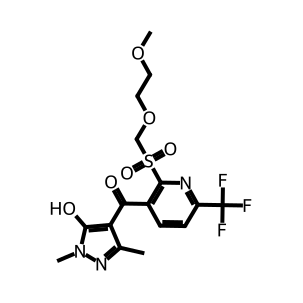 COCCOCS(=O)(=O)c1nc(C(F)(F)F)ccc1C(=O)c1c(C)nn(C)c1O